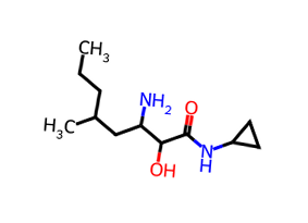 CCCC(C)CC(N)C(O)C(=O)NC1CC1